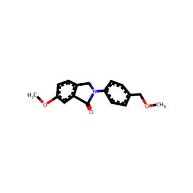 COCc1ccc(N2Cc3ccc(OC)cc3C2=O)cc1